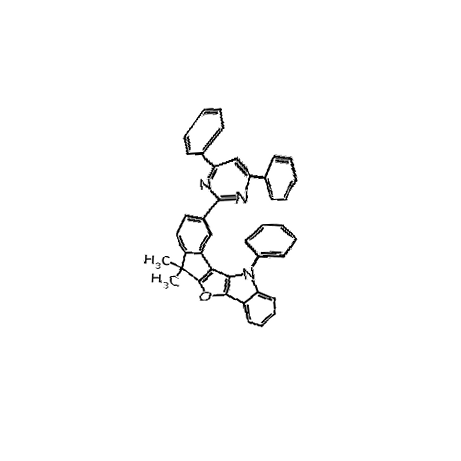 CC1(C)c2ccc(-c3nc(-c4ccccc4)cc(-c4ccccc4)n3)cc2-c2c1oc1c3ccccc3n(-c3ccccc3)c21